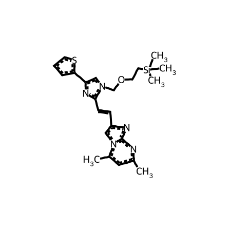 Cc1cc(C)n2cc(/C=C/c3nc(-c4cccs4)cn3COCC[Si](C)(C)C)nc2n1